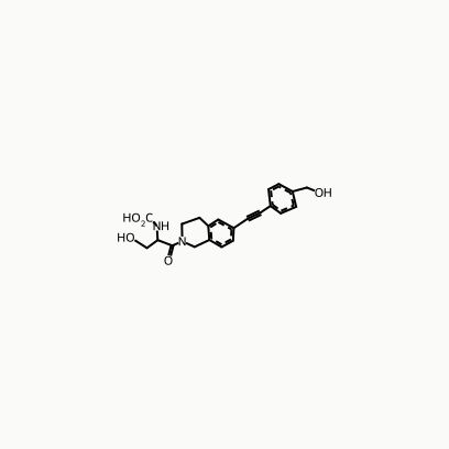 O=C(O)NC(CO)C(=O)N1CCc2cc(C#Cc3ccc(CO)cc3)ccc2C1